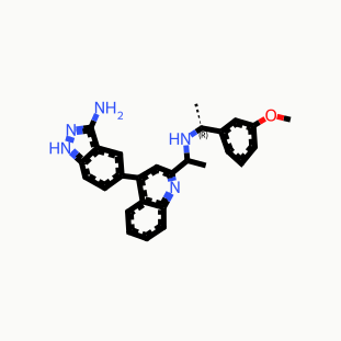 COc1cccc([C@@H](C)NC(C)c2cc(-c3ccc4[nH]nc(N)c4c3)c3ccccc3n2)c1